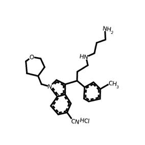 Cc1cccc(C(CCNCCCN)c2cn(CC3CCOCC3)c3ccc(C#N)cc23)c1.Cl